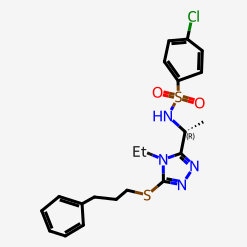 CCn1c(SCCCc2ccccc2)nnc1[C@@H](C)NS(=O)(=O)c1ccc(Cl)cc1